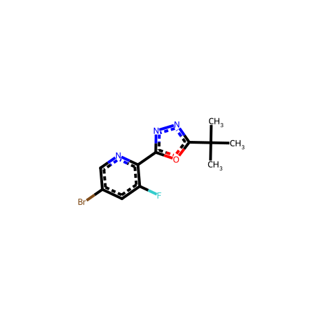 CC(C)(C)c1nnc(-c2ncc(Br)cc2F)o1